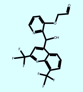 O=CCOc1cccnc1C(O)c1cc(C(F)(F)F)nc2c(C(F)(F)F)cccc12